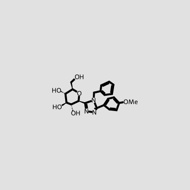 COc1ccc(-c2nnc([C@@H]3O[C@H](CO)[C@@H](O)[C@H](O)[C@H]3O)n2Cc2ccccc2)cc1